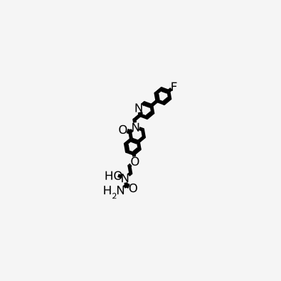 NC(=O)N(O)CCOc1ccc2c(c1)CCN(Cc1ccc(-c3ccc(F)cc3)cn1)C2=O